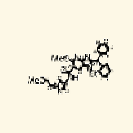 CCn1c(C(c2ccccc2)c2ccccc2)nc2nc(OC)c(C(=O)Nc3cnn(CCOC)c3)cc21